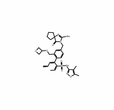 C=C/C=C(\C(=C/C)S(=O)(=O)Nc1noc(C)c1C)c1ccc(CN2C(=O)C3(CCCC3)N=C2CCCC)cc1COC1COC1